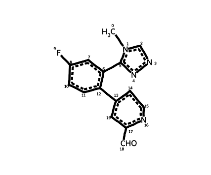 Cn1cnnc1-c1cc(F)ccc1-c1ccnc(C=O)c1